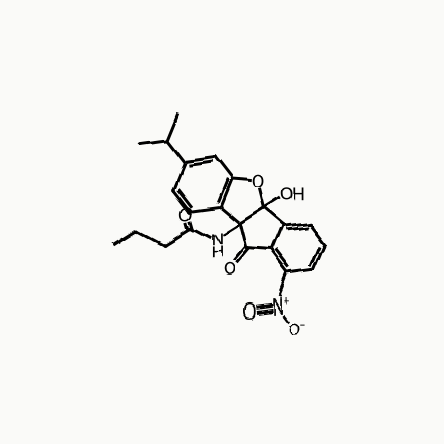 CCCC(=O)NC12C(=O)c3c([N+](=O)[O-])cccc3C1(O)Oc1cc(C(C)C)ccc12